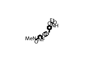 CCC1Oc2ccc(CN3CCN(c4ccc(C(=O)NC)nc4F)CC3)cc2NC1=O